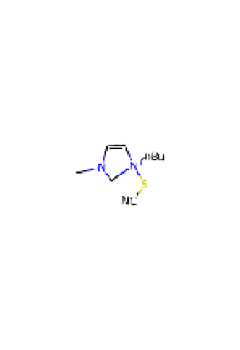 CCCC[N+]1(SC#N)C=CN(C)C1